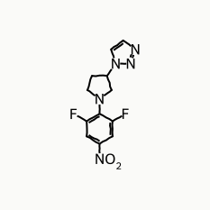 O=[N+]([O-])c1cc(F)c(N2CCC(n3ccnn3)C2)c(F)c1